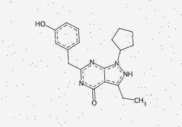 CCc1[nH]n(C2CCCC2)c2nc(Cc3cccc(O)c3)nc(=O)c1-2